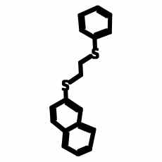 c1ccc(SCCSc2ccc3ccccc3c2)cc1